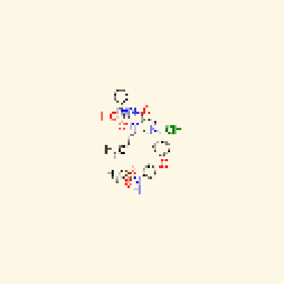 CCCCN1C(=O)[C@@H]([C@H](O)C2CC=CC2)NC(=O)C12CCN(Cc1ccc(Oc3ccc(NS(C)(=O)=O)cc3)cc1)CC2.Cl